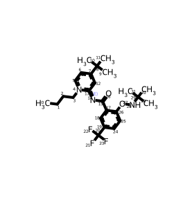 CCCCn1ccc(C(C)(C)C)c/c1=N\C(=O)c1cc(C(F)(F)F)ccc1ONC(C)(C)C